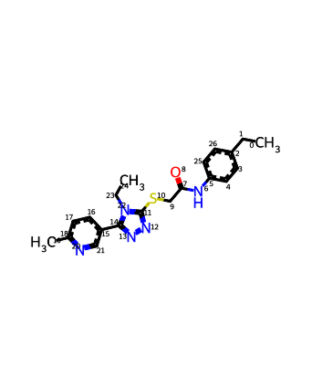 CCc1ccc(NC(=O)CSc2nnc(-c3ccc(C)nc3)n2CC)cc1